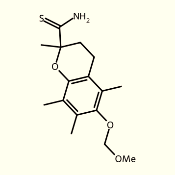 COCOc1c(C)c(C)c2c(c1C)CCC(C)(C(N)=S)O2